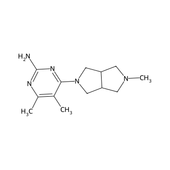 Cc1nc(N)nc(N2CC3CN(C)CC3C2)c1C